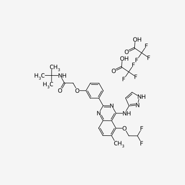 Cc1ccc2nc(-c3cccc(OCC(=O)NC(C)(C)C)c3)nc(Nc3cc[nH]n3)c2c1OCC(F)F.O=C(O)C(F)(F)F.O=C(O)C(F)(F)F